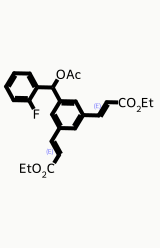 CCOC(=O)/C=C/c1cc(/C=C/C(=O)OCC)cc(C(OC(C)=O)c2ccccc2F)c1